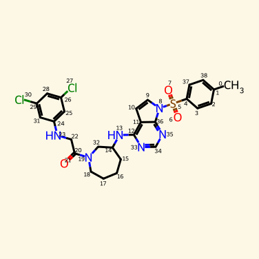 Cc1ccc(S(=O)(=O)n2ccc3c(NC4CCCCN(C(=O)CNc5cc(Cl)cc(Cl)c5)C4)ncnc32)cc1